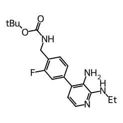 CCNc1nccc(-c2ccc(CNC(=O)OC(C)(C)C)c(F)c2)c1N